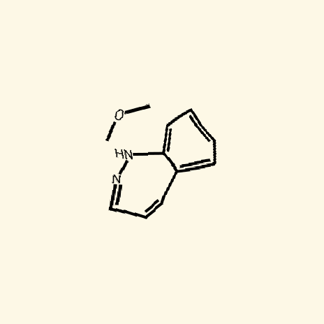 C1=Cc2ccccc2NN=C1.COC